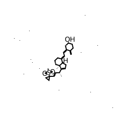 C=C1CC[C@H](O)C/C1=C/C=C1\CCC[C@]2(C)C([C@H](C)/C=C/C3(S(C)(=O)=O)CC3)=CC[C@@H]12